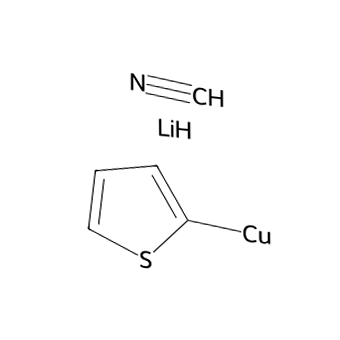 C#N.[Cu][c]1cccs1.[LiH]